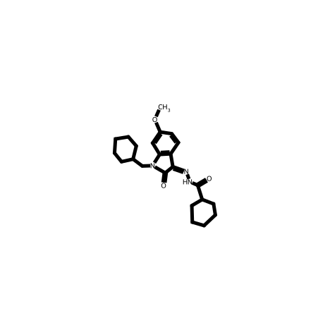 COc1ccc2c(c1)N(CC1CCCCC1)C(=O)C2=NNC(=O)C1CCCCC1